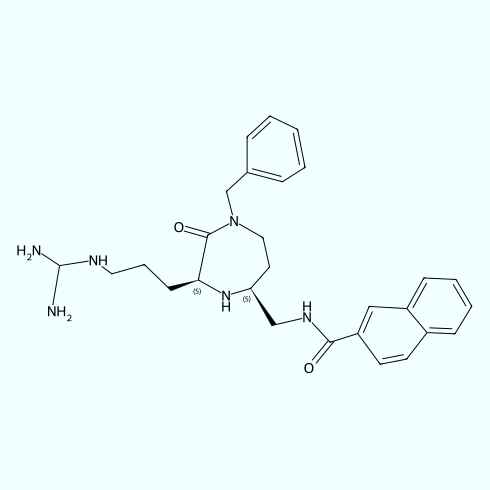 NC(N)NCCC[C@@H]1N[C@H](CNC(=O)c2ccc3ccccc3c2)CCN(Cc2ccccc2)C1=O